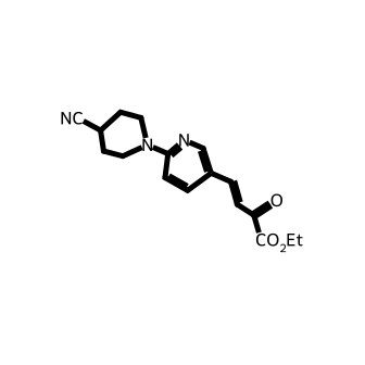 CCOC(=O)C(=O)C=Cc1ccc(N2CCC(C#N)CC2)nc1